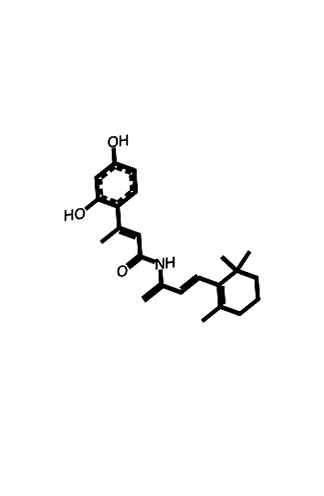 C=C(/C=C/C1=C(C)CCCC1(C)C)NC(=O)/C=C(\C)c1ccc(O)cc1O